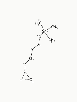 C[Si](C)(C)OCCOCC1CO1